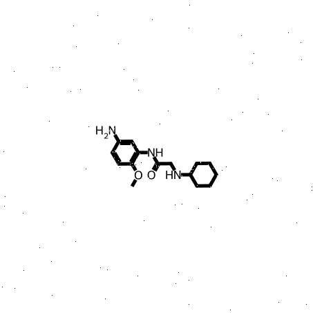 COc1ccc(N)cc1NC(=O)CNC1CCCCC1